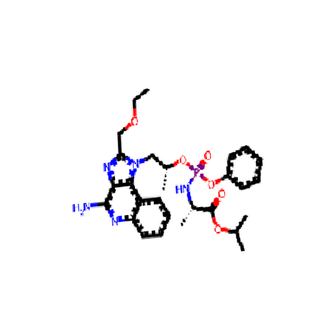 CCOCc1nc2c(N)nc3ccccc3c2n1C[C@@H](C)O[P@@](=O)(N[C@@H](C)C(=O)OC(C)C)Oc1ccccc1